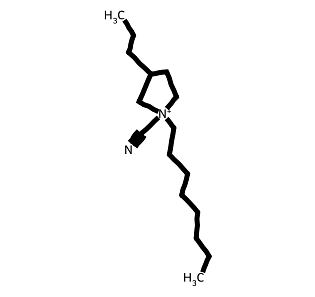 CCCCCCCC[N+]1(C#N)CCC(CCC)C1